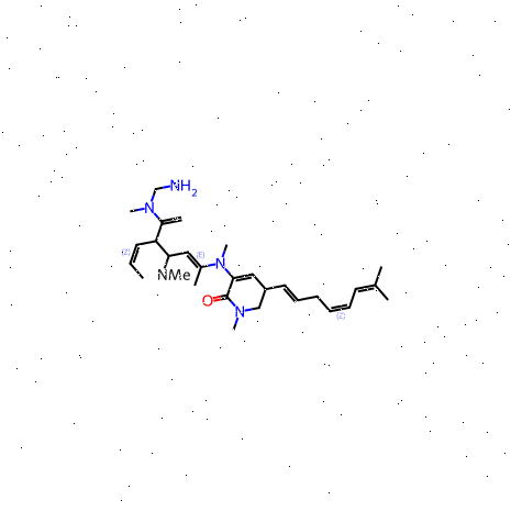 C=C(C(/C=C\C)C(/C=C(\C)N(C)C1=CC(C=CC/C=C\C=C(C)C)CN(C)C1=O)NC)N(C)CN